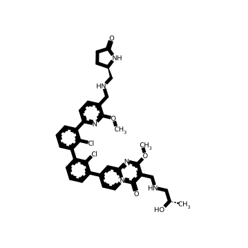 COc1nc(-c2cccc(-c3cccc(-c4ccn5c(=O)c(CNC[C@H](C)O)c(OC)nc5c4)c3Cl)c2Cl)ccc1CNC[C@H]1CCC(=O)N1